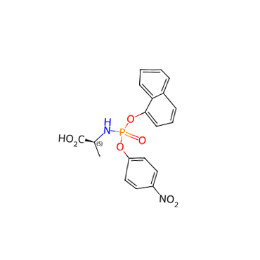 C[C@H](NP(=O)(Oc1ccc([N+](=O)[O-])cc1)Oc1cccc2ccccc12)C(=O)O